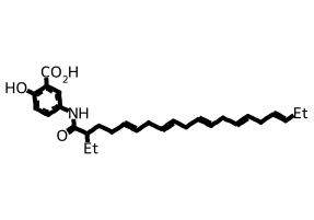 CCC=CCC=CCC=CCC=CCC=CCCC(CC)C(=O)Nc1ccc(O)c(C(=O)O)c1